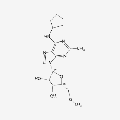 COC[C@H]1O[C@@H](n2cnc3c(NC4CCCC4)nc(C)nc32)C(O)C1O